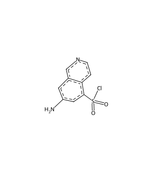 Nc1cc(S(=O)(=O)Cl)c2ccncc2c1